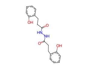 O=C(CCc1ccccc1O)NNC(=O)CCc1ccccc1O